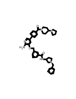 Nc1ncc(-c2ccc(C(=O)N3CCC(N4CCCC4)CC3)cc2)cc1OCc1cccc(C(=O)NC2CCN(Cc3ccccc3)C2)c1